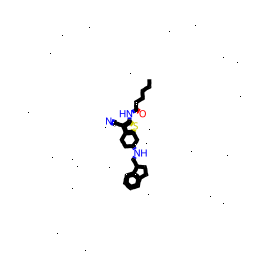 CCCCCC(=O)Nc1sc2c(c1C#N)CCC(NCC1CCc3ccccc31)C2